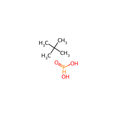 CC(C)(C)C.O=[PH](O)O